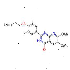 COc1cc2c(=O)[nH]c(-c3cc(C)c(OCCNC(C)=O)c(C)c3)nc2nc1OC